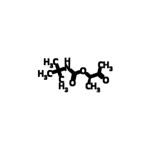 CC(=O)[C@@H](C)OC(=O)NC(C)(C)C